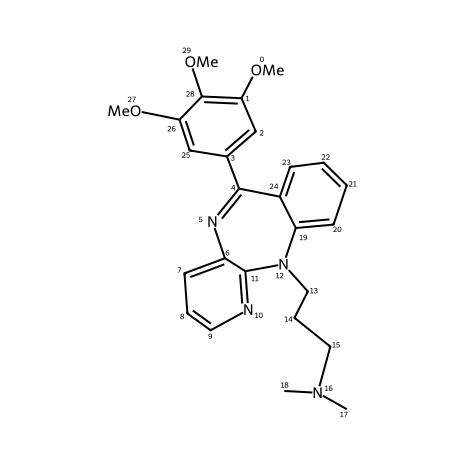 COc1cc(C2=Nc3cccnc3N(CCCN(C)C)c3ccccc32)cc(OC)c1OC